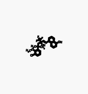 COc1c(Cl)cccc1C(C)(C)CC(O)(C=Nc1cccc2c(O)cccc12)C(F)(F)F